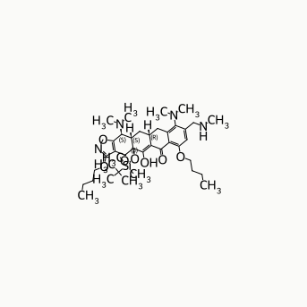 CCCCOc1cc(CNC)c(N(C)C)c2c1C(=O)C1=C(O)[C@]3(O[Si](C)(C)C(C)(C)C)C(=O)c4c(OCCCC)noc4[C@@H](N(C)C)[C@@H]3C[C@@H]1C2